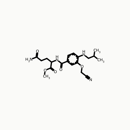 COC(=O)C(CCC(N)=O)NC(=O)c1ccc(NCC(C)C)c(OCC#N)c1